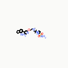 CN(CCOc1cc(-c2ccc3c(c2N)CCC3)ccn1)CC(C)(C)n1ccc(S(N)(=O)=O)n1